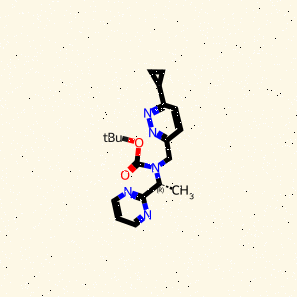 C[C@H](c1ncccn1)N(Cc1ccc(C2CC2)nn1)C(=O)OC(C)(C)C